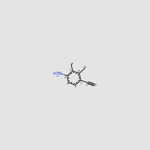 C#Cc1ccc(N)c(C)c1C